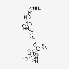 CC(=O)NC(C(=O)N1C[C@H](O)C[C@H]1C(=O)NCc1ccc(-c2scnc2C)cc1OCCCN1CCC(CC(=O)Nc2cccc(Sc3cnc(N4CCC(C)(CN)CC4)cn3)c2Cl)CC1)C(C)(C)C